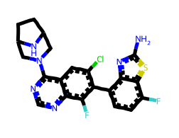 Nc1nc2c(-c3c(Cl)cc4c(N5CC6CCC(C5)N6)ncnc4c3F)ccc(F)c2s1